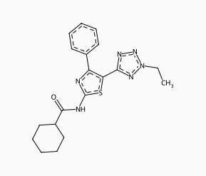 CCn1nnc(-c2sc(NC(=O)C3CCCCC3)nc2-c2ccccc2)n1